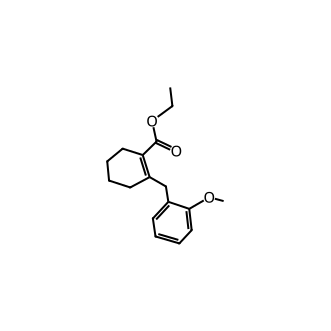 CCOC(=O)C1=C(Cc2ccccc2OC)CCCC1